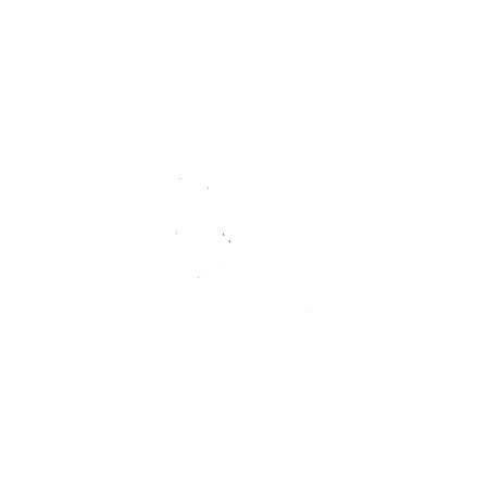 CC(C)(C)OC(=O)N1C(=O)c2cc(Br)cc3cccc1c23